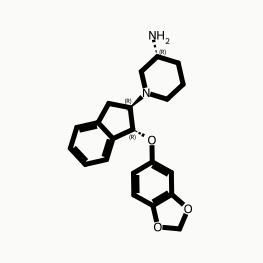 N[C@@H]1CCCN([C@@H]2Cc3ccccc3[C@H]2Oc2ccc3c(c2)OCO3)C1